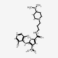 CN(C)C1CCN(CCCNC(=O)c2cc([N+](=O)[O-])c(Sc3c(Cl)cncc3Cl)s2)CC1